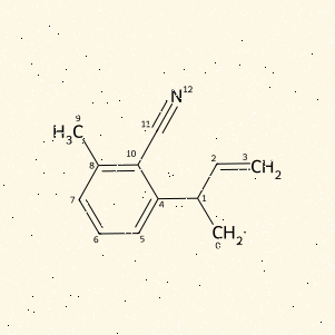 [CH2]C(C=C)c1cccc(C)c1C#N